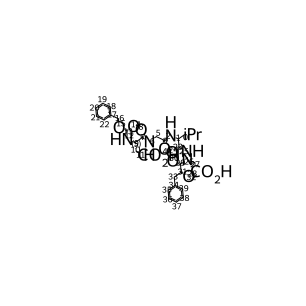 CC(C)C(NC(=O)CNC(=O)[C@H](CC(=O)O)NC(=O)OCc1ccccc1)C(=O)NN(CC(=O)O)C(=O)C(=O)Cc1ccccc1